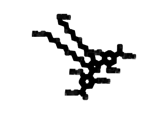 COCCOCCOCCOCc1c(-c2c(OC)cc(C(=O)OC)cc2OC)sc(-c2c(OC)cc(C(=O)OC)cc2OC)c1COCCOCCOCCOC